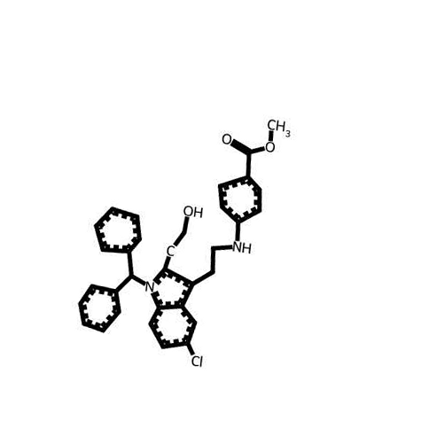 COC(=O)c1ccc(NCCc2c(CCO)n(C(c3ccccc3)c3ccccc3)c3ccc(Cl)cc23)cc1